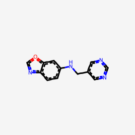 c1ncc(CNc2ccc3ncoc3c2)cn1